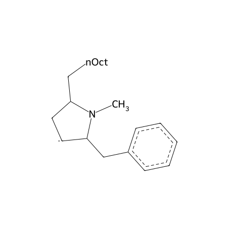 CCCCCCCCCC1C[CH]C(Cc2ccccc2)N1C